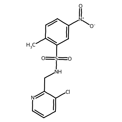 Cc1ccc([N+](=O)[O-])cc1S(=O)(=O)NCc1ncccc1Cl